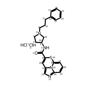 Cl.Cl.O=C(N[C@H]1CCN(CCCc2ccccc2)C1)C1=Cc2cnc3cccc(n23)S1